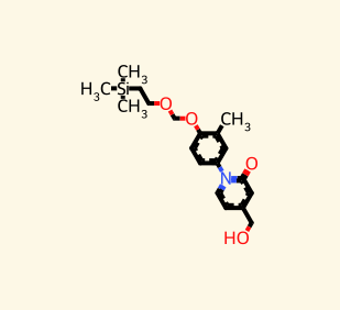 Cc1cc(-n2ccc(CO)cc2=O)ccc1OCOCC[Si](C)(C)C